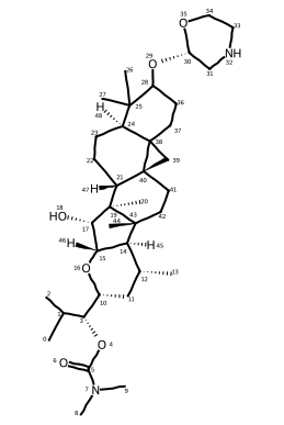 CC(C)[C@@H](OC(=O)N(C)C)[C@H]1C[C@@H](C)[C@H]2[C@H](O1)[C@H](O)[C@@]1(C)[C@@H]3CC[C@H]4C(C)(C)C(O[C@H]5CNCCO5)CCC45C[C@@]35CC[C@]21C